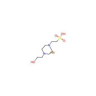 Br.O=S(=O)(O)CCN1CCN(CCO)CC1